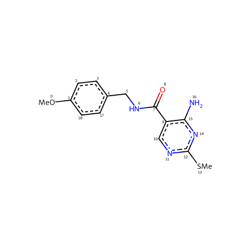 COc1ccc(CNC(=O)c2cnc(SC)nc2N)cc1